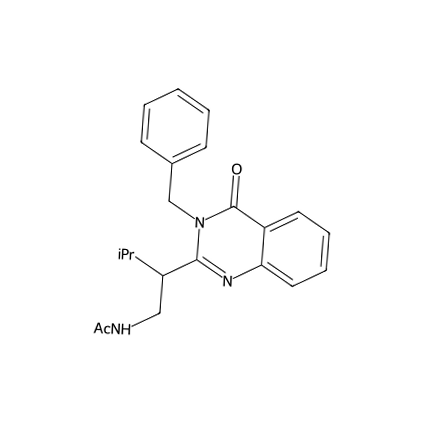 CC(=O)NCC(c1nc2ccccc2c(=O)n1Cc1ccccc1)C(C)C